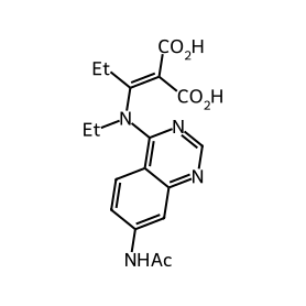 CCC(=C(C(=O)O)C(=O)O)N(CC)c1ncnc2cc(NC(C)=O)ccc12